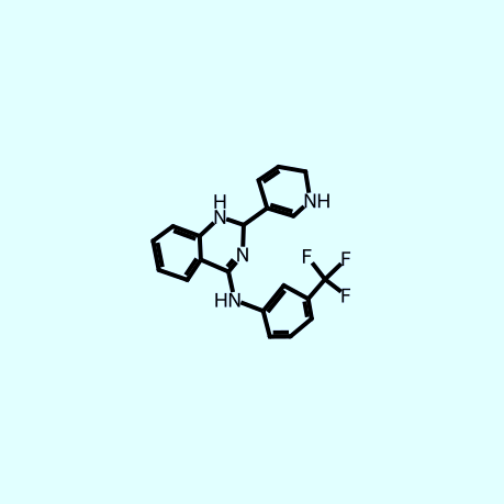 FC(F)(F)c1cccc(NC2=NC(C3=CNCC=C3)Nc3ccccc32)c1